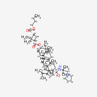 C=C(C)[C@@H]1CC[C@]2(C(=O)NC(C)(C)CN3CCCC3)CC[C@]3(C)[C@H](CC[C@@H]4[C@@]5(C)CC[C@H](OC(=O)[C@H]6C[C@@H](C(=O)OCCCC)C6(C)C)C(C)(C)[C@@H]5CC[C@]43C)[C@@H]12